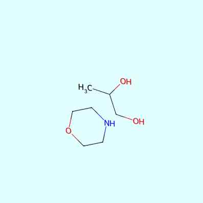 C1COCCN1.CC(O)CO